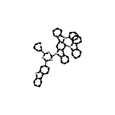 c1ccc(-c2nc(-c3ccc4c(c3)sc3ccccc34)nc(-n3c4ccccc4c4c(-n5c6ccccc6c6ccccc65)c5c(cc43)c3ccccc3n5-c3ccccc3)n2)cc1